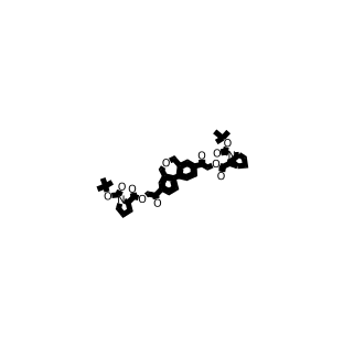 CC(C)(C)OC(=O)N1CCCC1C(=O)OCC(=O)c1ccc2c(c1)COCc1cc(C(=O)COC(=O)C3C4CCC(C4)N3C(=O)OC(C)(C)C)ccc1-2